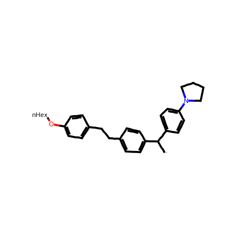 [CH2]C(c1ccc(CCc2ccc(OCCCCCC)cc2)cc1)c1ccc(N2CCCC2)cc1